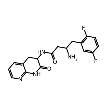 NC(CC(=O)NC1Cc2cccnc2NC1=O)Cc1cc(F)ccc1F